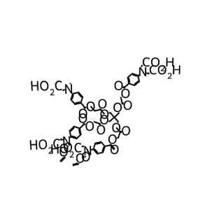 C=COON(CC(=O)O)c1ccc(C(=O)OCC(=O)OCC(COC(=O)COC(=O)c2ccc(N(C)CC(=O)O)cc2)(COC(=O)COC(=O)c2ccc(N(CC(=O)O)CC(=O)O)cc2)COC(=O)COC(=O)c2ccc(N(CC(=O)O)OOC=C)cc2)cc1